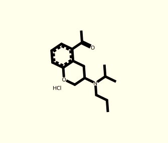 CCCN(C(C)C)C1COc2cccc(C(C)=O)c2C1.Cl